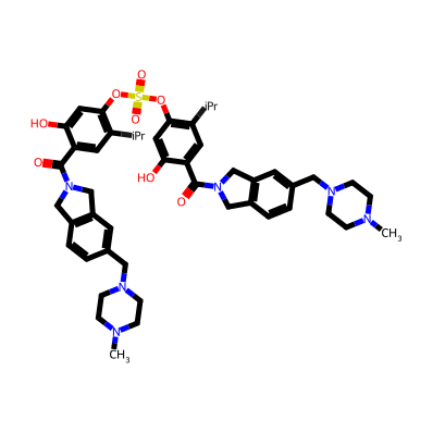 CC(C)c1cc(C(=O)N2Cc3ccc(CN4CCN(C)CC4)cc3C2)c(O)cc1OS(=O)(=O)Oc1cc(O)c(C(=O)N2Cc3ccc(CN4CCN(C)CC4)cc3C2)cc1C(C)C